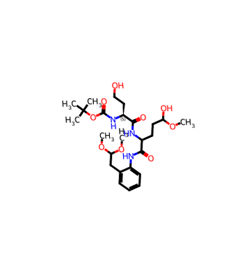 COC(O)CCC(NC(=O)[C@H](CCO)NC(=O)OC(C)(C)C)C(=O)Nc1ccccc1CC(OC)OC